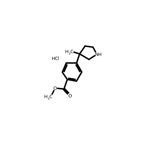 COC(=O)c1ccc(C2(C)CCNC2)cc1.Cl